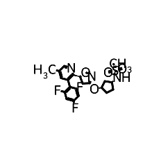 Cc1cnc([C@@H]2CC(O[C@@H]3CC[C@H](NS(C)(=O)=O)C3)=NO2)c(-c2c(F)cc(F)cc2F)c1